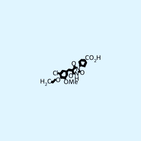 C=CCOc1c(Cl)cc(C=C2C(=O)NC(=O)N(c3ccc(C(=O)O)cc3)C2=O)cc1OC